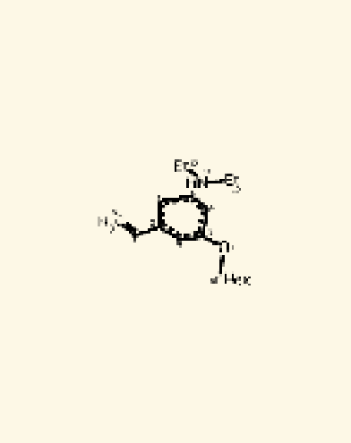 C=Cc1cccc(OCCCCCC)c1.CCNCC